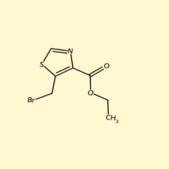 CCOC(=O)c1ncsc1CBr